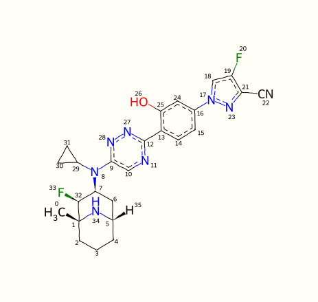 C[C@@]12CCC[C@@H](C[C@H](N(c3cnc(-c4ccc(-n5cc(F)c(C#N)n5)cc4O)nn3)C3CC3)[C@@H]1F)N2